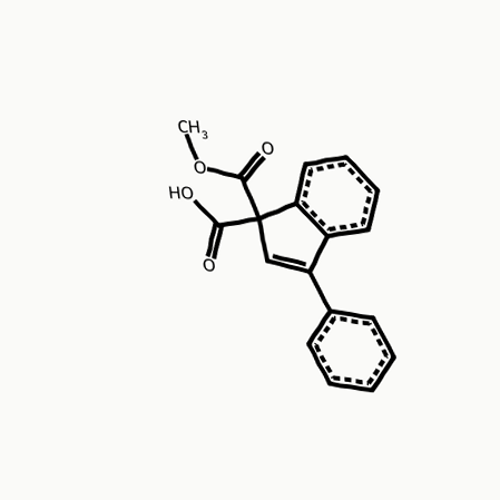 COC(=O)C1(C(=O)O)C=C(c2ccccc2)c2ccccc21